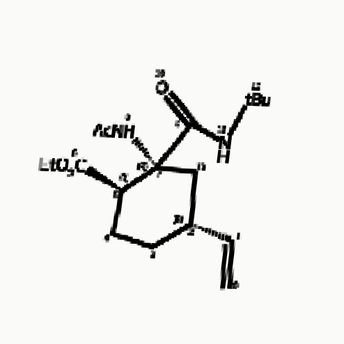 C=C[C@@H]1CC[C@@H](C(=O)OCC)[C@@](NC(C)=O)(C(=O)NC(C)(C)C)C1